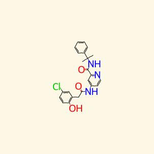 CC(C)(NC(=O)c1cc(NC(=O)Cc2cc(Cl)ccc2O)ccn1)c1ccccc1